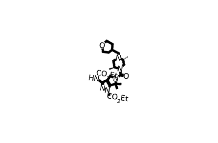 CCOC(=O)Nc1nn(C(=O)OCC)c2c1CN(C(=O)N1C[C@@H](C)N(CC3CCOCC3)C[C@@H]1C)C2(C)C